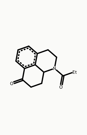 CCC(=O)N1CCc2cccc3c2C1CCC3=O